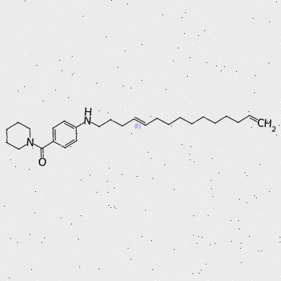 C=CCCCCCCCC/C=C/CCCNc1ccc(C(=O)N2CCCCC2)cc1